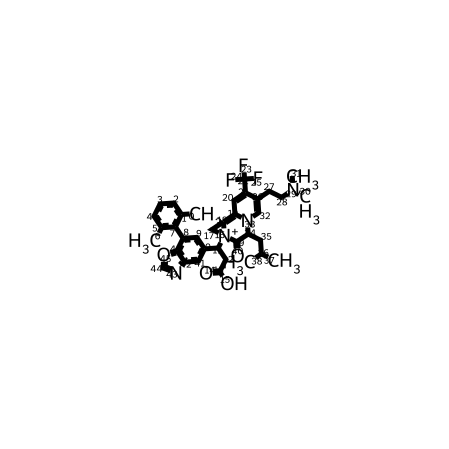 Cc1cccc(C)c1-c1cc(C(CC(=O)O)[N+]23CC2=C2C=C(C(F)(F)F)C(CCN(C)C)=CN2C(CC(C)C)C3=O)cc2ncoc12